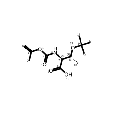 C=C(C)OC(=O)N[C@H](C(=O)O)[C@@H](C)OC(C)(C)C